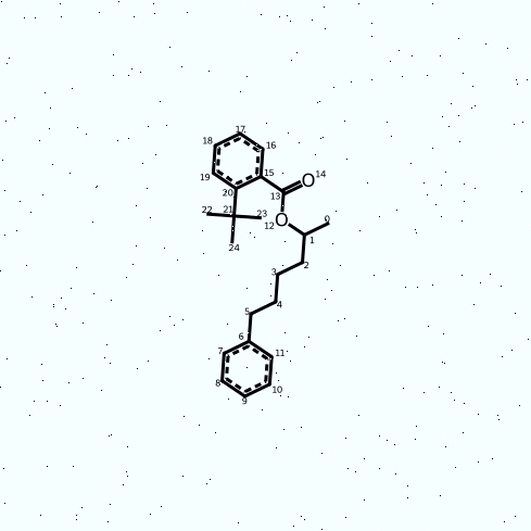 CC(CCCCc1ccccc1)OC(=O)c1ccccc1C(C)(C)C